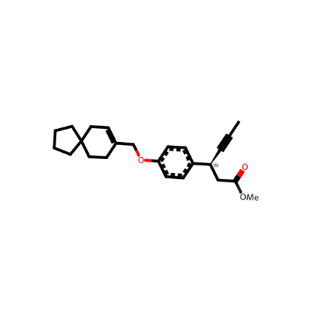 CC#C[C@@H](CC(=O)OC)c1ccc(OCC2=CCC3(CCCC3)CC2)cc1